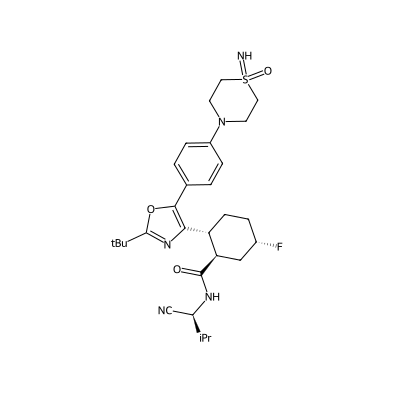 CC(C)[C@@H](C#N)NC(=O)[C@@H]1C[C@@H](F)CC[C@H]1c1nc(C(C)(C)C)oc1-c1ccc(N2CCS(=N)(=O)CC2)cc1